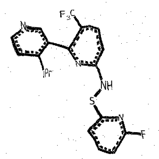 CC(C)c1ccncc1-c1nc(NSc2cccc(F)n2)ccc1C(F)(F)F